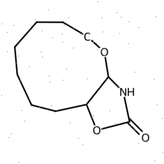 O=C1NC2OCCCCCCCC2O1